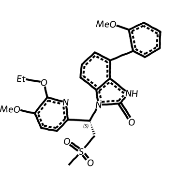 CCOc1nc([C@@H](CS(C)(=O)=O)n2c(=O)[nH]c3c(-c4ccccc4OC)cccc32)ccc1OC